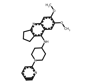 COc1cc2nc3c(c(NC4CCN(c5ccc#cn5)CC4)c2cc1OC)CCC3